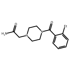 CCc1ccccc1C(=O)N1CCN(CC(N)=O)CC1